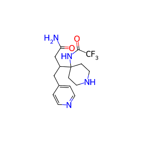 NC(=O)CC(Cc1ccncc1)C1(NC(=O)C(F)(F)F)CCNCC1